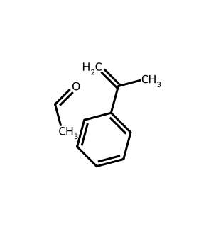 C=C(C)c1ccccc1.CC=O